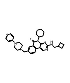 O=c1c2cc(CN3CCN(c4ccncc4)CC3)ccc2c2cnc(NCC3CCC3)nc2n1C1CCCCC1